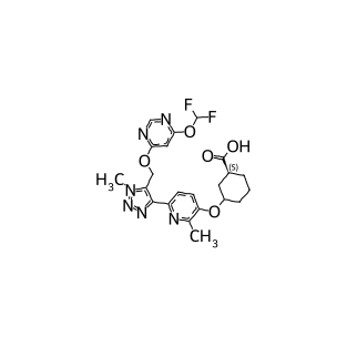 Cc1nc(-c2nnn(C)c2COc2cc(OC(F)F)ncn2)ccc1OC1CCC[C@H](C(=O)O)C1